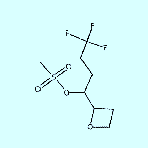 CS(=O)(=O)OC(CCC(F)(F)F)C1CCO1